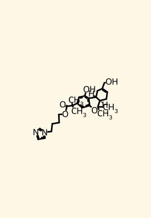 CC(C)(C(=O)OCCCCn1ccnc1)c1cc(O)c2c(c1)OC(C)(C)[C@@H]1CC=C(CO)C[C@@H]21